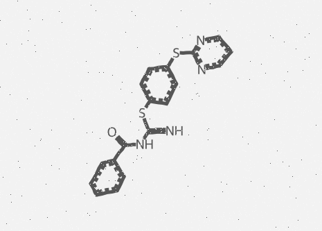 N=C(NC(=O)c1ccccc1)Sc1ccc(Sc2ncccn2)cc1